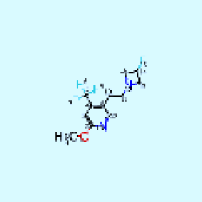 COc1cc(C(F)(F)F)c(CCN2CC(F)C2)cn1